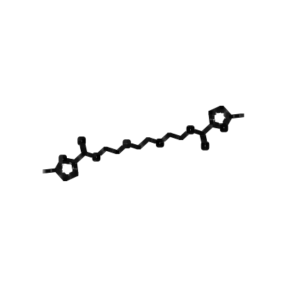 Cc1ccc(C(=O)OCCOCCOCCOC(=O)c2ccc(C)o2)o1